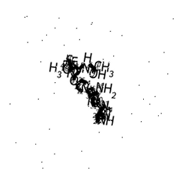 C[C@H](O)CNCC1=CC(OC2CCN(C3CC(CN)(n4cc(-c5ncnc6[nH]ccc56)cn4)C3)CC2)=NC(C)(C(F)(F)F)C1